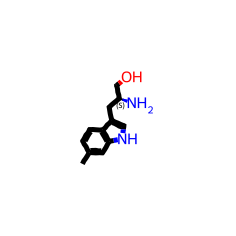 Cc1ccc2c(C[C@H](N)CO)c[nH]c2c1